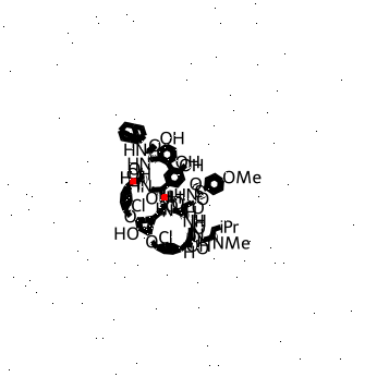 CN[C@H](CC(C)C)C(=O)N[C@H]1C(=O)N[C@@H](CC(=O)NS(=O)(=O)c2ccc(OC)cc2)C(=O)N[C@H]2C(=O)N[C@H]3C(=O)N[C@H](C(=O)N[C@H](C(=O)NC4C5CC6CC(C5)CC4C6)c4cc(O)cc(O)c4-c4cc3ccc4O)[C@H](O)c3ccc(c(Cl)c3)Oc3cc2cc(c3O)Oc2ccc(cc2Cl)[C@H]1O